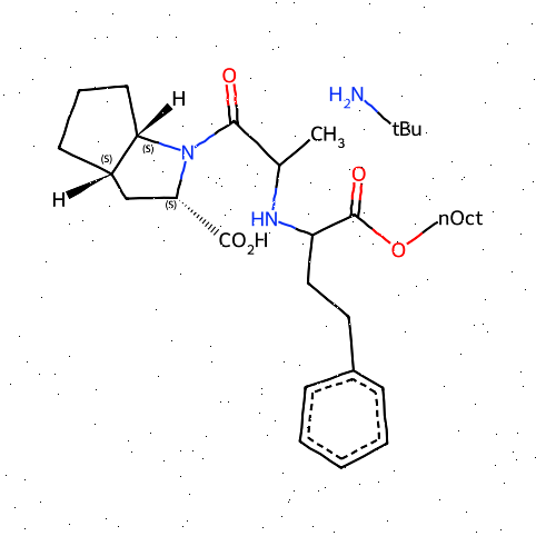 CC(C)(C)N.CCCCCCCCOC(=O)C(CCc1ccccc1)NC(C)C(=O)N1[C@H](C(=O)O)C[C@@H]2CCC[C@@H]21